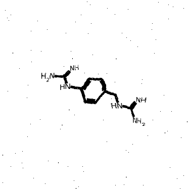 N=C(N)NCc1ccc(NC(=N)N)cc1